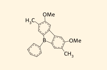 COc1cc2c(cc1C)B(c1ccccc1)c1cc(C)c(OC)cc1-2